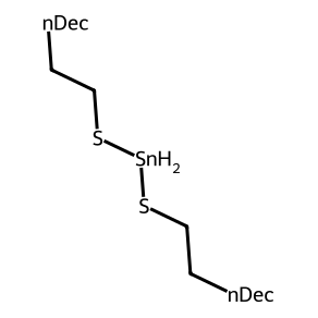 CCCCCCCCCCCC[S][SnH2][S]CCCCCCCCCCCC